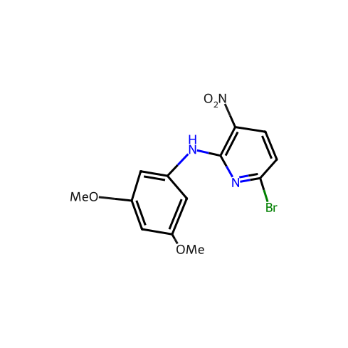 COc1cc(Nc2nc(Br)ccc2[N+](=O)[O-])cc(OC)c1